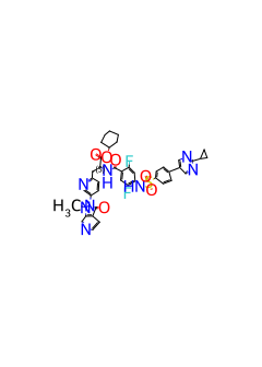 Cn1c2cnccc2c(=O)n1-c1ccc(C[C@H](NC(=O)c2cc(F)c(NS(=O)(=O)c3ccc(-c4cnc(C5CC5)nc4)cc3)cc2F)C(=O)OC2CCCCC2)nc1